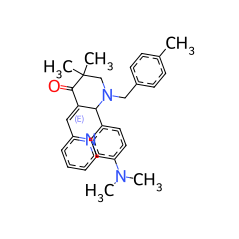 Cc1ccc(CN2CC(C)(C)C(=O)/C(=C/c3ccccn3)C2c2ccc(N(C)C)cc2)cc1